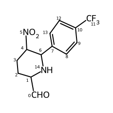 O=CC1CCC([N+](=O)[O-])C(c2ccc(C(F)(F)F)cc2)N1